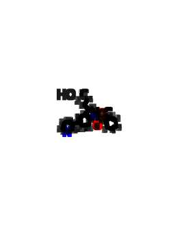 Cc1ccccc1S(=O)(=O)n1cc(CCC(=O)O)c2cc(-c3cccnc3)ccc21